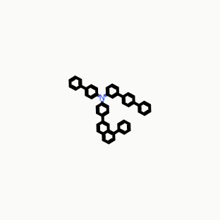 c1ccc(-c2ccc(-c3cccc(N(c4ccc(-c5ccccc5)cc4)c4ccc(-c5ccc6cccc(-c7ccccc7)c6c5)cc4)c3)cc2)cc1